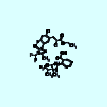 CC(C)C1(C)N=C(c2ncccc2C(=O)O)NC1=O.CCOC(=O)C(Cl)Cc1cc(-n2nc(C)n(C(F)F)c2=O)c(F)cc1Cl